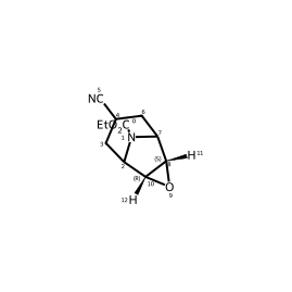 CCOC(=O)N1C2CC(C#N)CC1[C@@H]1O[C@H]21